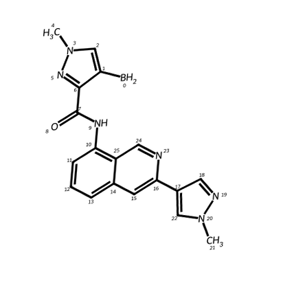 Bc1cn(C)nc1C(=O)Nc1cccc2cc(-c3cnn(C)c3)ncc12